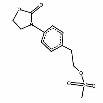 CS(=O)(=O)OCCc1ccc(N2CCOC2=O)cc1